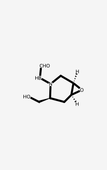 O=CBN1C[C@H]2O[C@H]2C[C@H]1CO